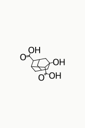 O=C(O)C1C2CC3CC1C(C(=O)O)C(O)(C3)C2